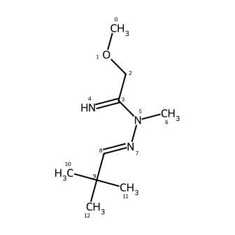 COCC(=N)N(C)/N=C/C(C)(C)C